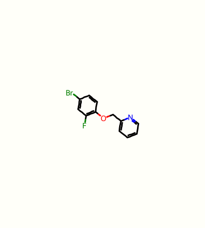 Fc1cc(Br)ccc1OCc1ccccn1